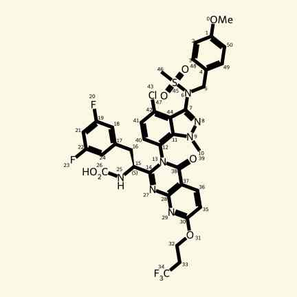 COc1ccc(CN(c2nn(C)c3c(-n4c([C@H](Cc5cc(F)cc(F)c5)NC(=O)O)nc5nc(OCCC(F)(F)F)ccc5c4=O)ccc(Cl)c23)S(C)(=O)=O)cc1